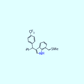 [CH2]C(C)C(c1ccc(C(F)(F)F)cc1)c1c[nH]c2c(CSC)cccc12